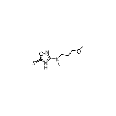 COCCCN(C)c1noc(=S)[nH]1